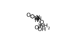 COc1ccc(-n2nnc(C(=O)C[C@H](N)C(=O)O)n2)cc1